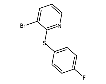 Fc1ccc(Sc2ncccc2Br)cc1